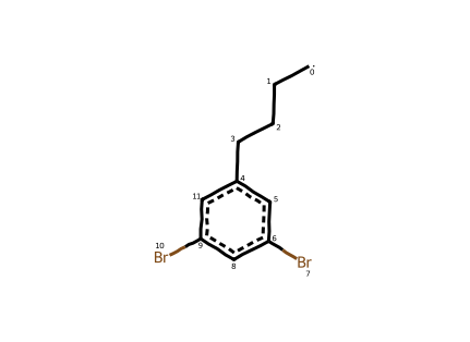 [CH2]CCCc1cc(Br)cc(Br)c1